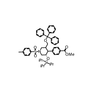 COC(=O)c1ccc(C2C(COC(c3ccccc3)(c3ccccc3)c3ccccc3)CN(S(=O)(=O)c3ccc(C)cc3)C[C@H]2O[Si](C(C)C)(C(C)C)C(C)C)cc1